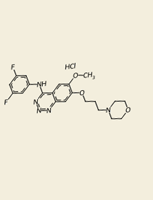 COc1cc2c(Nc3cc(F)cc(F)c3)nnnc2cc1OCCCN1CCOCC1.Cl